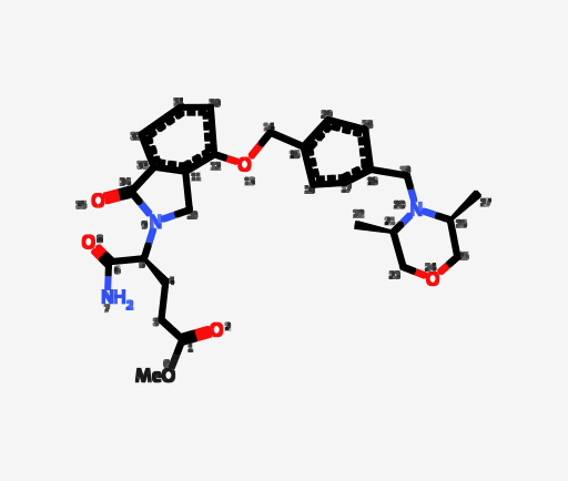 COC(=O)CC[C@@H](C(N)=O)N1Cc2c(OCc3ccc(CN4[C@H](C)COC[C@@H]4C)cc3)cccc2C1=O